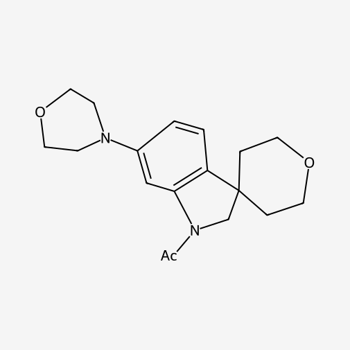 CC(=O)N1CC2(CCOCC2)c2ccc(N3CCOCC3)cc21